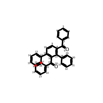 O=C(c1ccccc1)c1ccc(-c2ccccc2)c(C(=O)c2ccccc2)c1-c1ccccc1